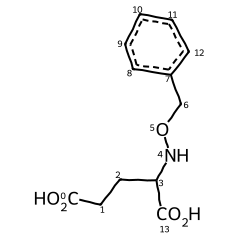 O=C(O)CCC(NOCc1ccccc1)C(=O)O